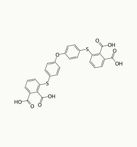 O=C(O)c1cccc(Sc2ccc(Oc3ccc(Sc4cccc(C(=O)O)c4C(=O)O)cc3)cc2)c1C(=O)O